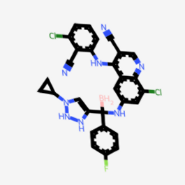 BC(Nc1cc(Cl)c2ncc(C#N)c(Nc3cccc(Cl)c3C#N)c2c1)(C1=CN(C2CC2)NN1)c1ccc(F)cc1